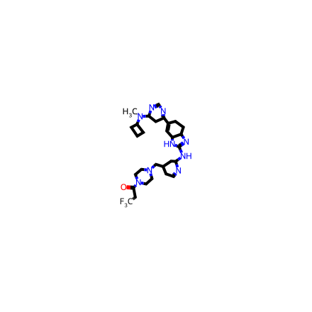 CN(C1CCC1)C1CC(C2=CC3NC(NC4CC(CN5CCN(C(=O)CC(F)(F)F)CC5)CC=N4)=NC3CC2)=NC=N1